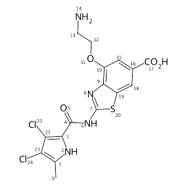 Cc1[nH]c(C(=O)Nc2nc3c(OCCN)cc(C(=O)O)cc3s2)c(Cl)c1Cl